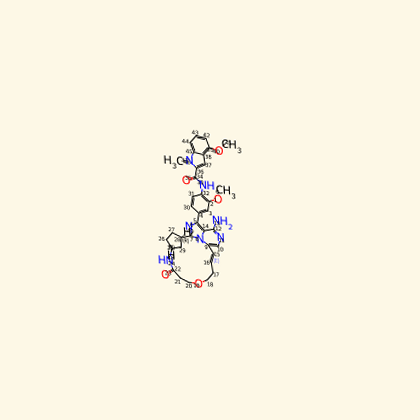 COc1cc(-c2nc3n4c(cnc(N)c24)/C=C/CCOCCC(=O)N[C@@H]2CC[C@@H]3C2)ccc1NC(=O)c1cc2c(OC)cccc2n1C